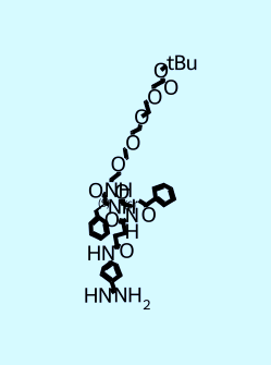 CC(C)(C)OC(=O)COCCOCCOCCOCCNC(=O)[C@H](Cc1ccccc1)NC(=O)[C@H](CC(=O)c1ccccc1)NC(=O)CCC(=O)Nc1ccc(C(=N)N)cc1